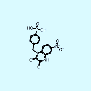 O=c1[nH]c2cc([N+](=O)[O-])ccc2n(Cc2ccc(P(=O)(O)O)cc2)c1=O